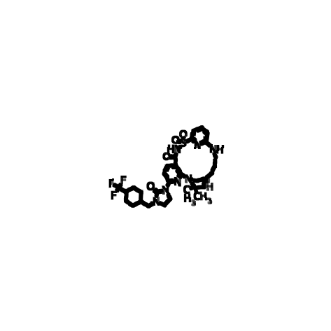 CC1(C)C[C@@H]2CCCNc3cccc(n3)S(=O)(=O)NC(=O)c3ccc(N4CCN(CC5CCC(C(F)(F)F)CC5)C4=O)nc3N1C2